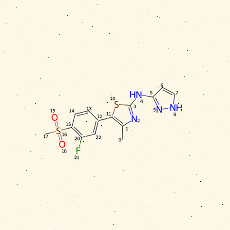 Cc1nc(Nc2cc[nH]n2)sc1-c1ccc(S(C)(=O)=O)c(F)c1